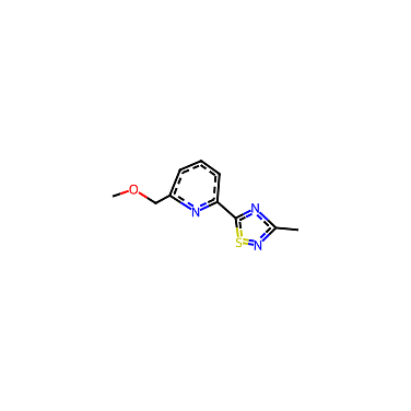 COCc1cccc(-c2nc(C)ns2)n1